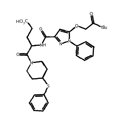 CC(C)(C)C(=O)COc1cc(C(=O)NC(CCC(=O)O)C(=O)N2CCC(Sc3ccccc3)CC2)nn1-c1ccccc1